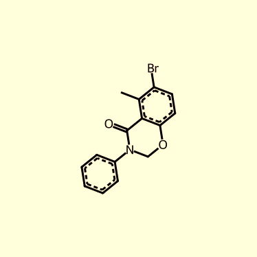 Cc1c(Br)ccc2c1C(=O)N(c1ccccc1)CO2